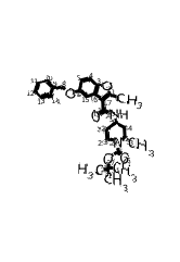 Cc1oc2ccc(OCc3ccccc3)cc2c1C(=O)N[C@@H]1CCN(C(=O)OC(C)(C)C)[C@@H](C)C1